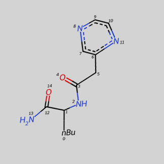 CCCCC(NC(=O)Cc1cnccn1)C(N)=O